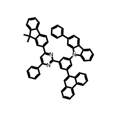 CC1(C)c2ccccc2-c2ccc(-c3cc(-c4ccccc4)nc(-c4cc(-c5cc6ccccc6c6ccccc56)cc(-n5c6ccccc6c6ccc(-c7ccccc7)cc65)c4)n3)cc21